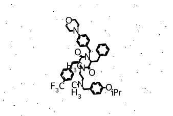 CC(C)Oc1ccc(CN(C)CCN(C)C(=O)C(Cc2ccccc2)N(Cc2ccc(N3CCOCC3)cc2)C(=O)C=Cc2ccc(C(F)(F)F)cc2)cc1